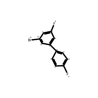 Fc1ccc(-c2cc(F)cc(Br)c2)cc1